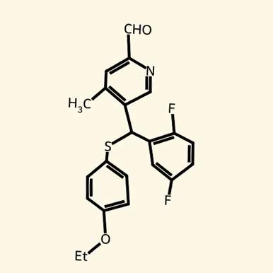 CCOc1ccc(SC(c2cnc(C=O)cc2C)c2cc(F)ccc2F)cc1